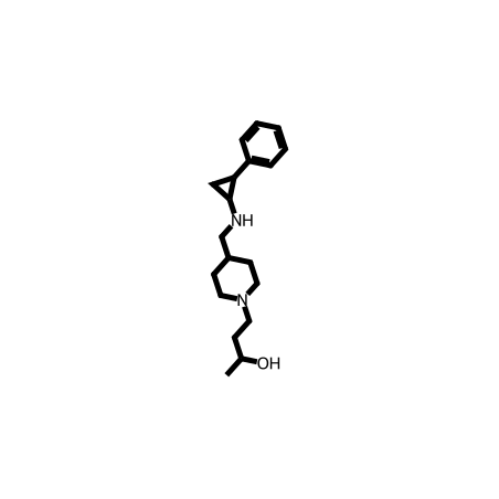 CC(O)CCN1CCC(CNC2CC2c2ccccc2)CC1